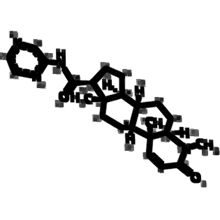 CN1C(=O)C=C[C@]2(C)[C@H]3CC[C@]4(C)[C@@H](C(=O)Nc5cnccn5)CC[C@H]4[C@@H]3CC[C@@H]12